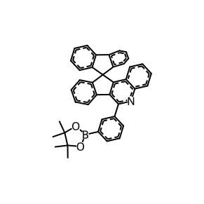 CC1(C)OB(c2cccc(-c3nc4ccccc4c4c3-c3ccccc3C43c4ccccc4-c4ccccc43)c2)OC1(C)C